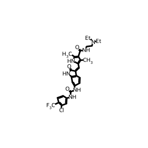 CCN(CC)CCNC(=O)c1c(C)[nH]c(C=C2C(=O)Nc3cc(NC(=O)Nc4ccc(C(F)(F)F)c(Cl)c4)ccc32)c1C